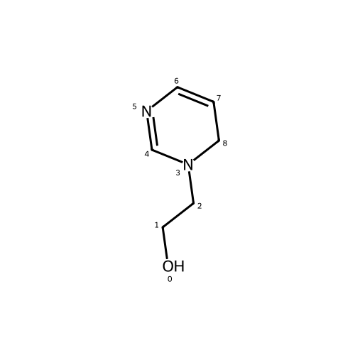 OCCN1C=NC=CC1